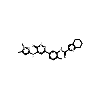 Cc1cc(Nc2cc(-c3ccc(F)c(NC(=O)c4cc5c(s4)CCCC5)c3)n[nH]c2=O)nn1C